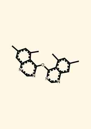 Cc1cc(C)c2c(Oc3ncnc4cc(C)cc(C)c34)ncnc2c1